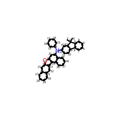 CC1(C)c2ccccc2-c2ccc(N(c3ccccc3)c3cc4oc5cc6ccccc6cc5c4c4ccccc34)cc21